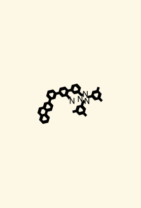 Cc1cc(C)cc(-c2nc(-c3cc(C)cc(C)c3)nc(-c3cccc(-c4ccc(-c5cccc(-c6ccc7c(ccc8ccccc87)c6)c5)cc4C#N)c3)n2)c1